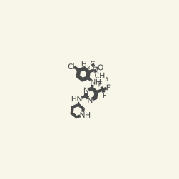 CP(C)(=O)c1cc(Cl)ccc1Nc1nc(N[C@H]2CCCNC2)ncc1C(F)(F)F